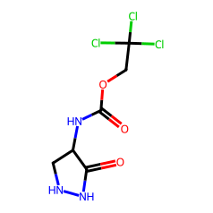 O=C(NC1CNNC1=O)OCC(Cl)(Cl)Cl